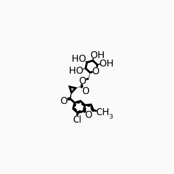 Cc1cc2cc(C(=O)[C@H]3C[C@@H]3C(=O)OC[C@H]3O[C@H](O)[C@H](O)[C@@H](O)[C@H]3O)cc(Cl)c2o1